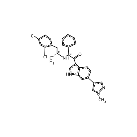 C[C@H](Cc1ccc(Cl)cc1Cl)N[C@H](C(=O)c1c[nH]c2cc(-c3cnn(C)c3)ccc12)c1ccccc1